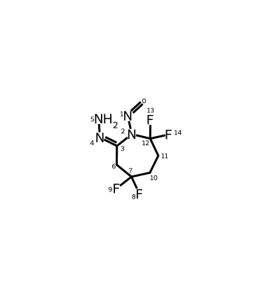 C=NN1/C(=N\N)CC(F)(F)CCC1(F)F